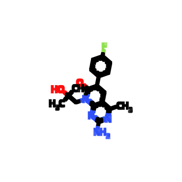 Cc1nc(N)nc2c1cc(-c1ccc(F)cc1)c(=O)n2CC(C)(C)O